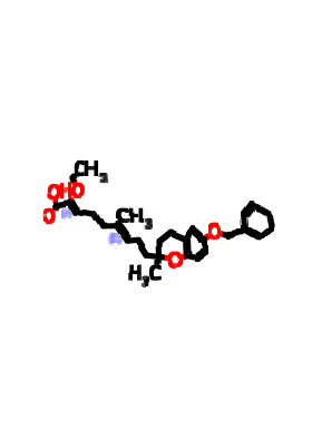 CCO/C(=C\CC/C(C)=C/CCC1(C)CCc2cc(OCC3=CCCC=C3)ccc2O1)C(=O)O